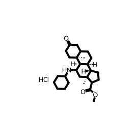 COC(=O)C1CC[C@H]2[C@@H]3CCC4CC(=O)CC[C@]4(C)[C@@H]3C(NC3CCCCC3)C[C@]12C.Cl